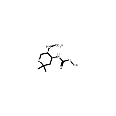 CC(C)(C)OC(=O)N[C@H]1CC(C)(C)OC[C@H]1NC(=O)O